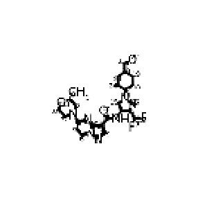 C[C@@H]1CN(c2ccn3ncc(C(=O)Nc4cn(C5CCC(C=O)CC5)nc4C(F)F)c3n2)CCO1